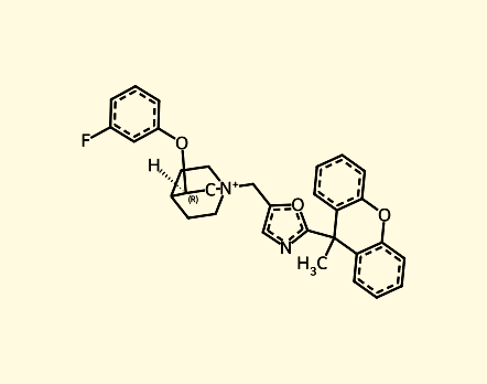 CC1(c2ncc(C[N+]34CCC(CC3)[C@@H](Oc3cccc(F)c3)C4)o2)c2ccccc2Oc2ccccc21